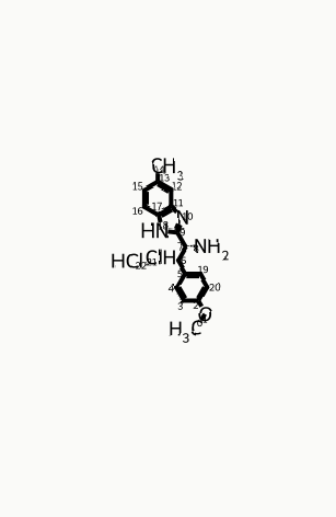 COc1ccc(C[C@@H](N)c2nc3cc(C)ccc3[nH]2)cc1.Cl.Cl